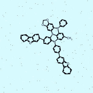 Cc1cc2c3c(c1)N(c1ccccc1)c1cc4c(cc1B3c1cc(-c3ccc5c(c3)oc3ccccc35)ccc1N2c1ccc(-c2ccc3c(c2)oc2ccccc23)cc1)OCO4